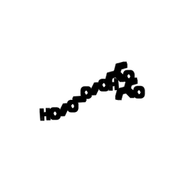 CCC(C=O)CC.CCC(C=O)CC.OCCOCCOCCO